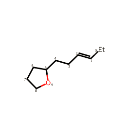 CCC=CCCC1CCCO1